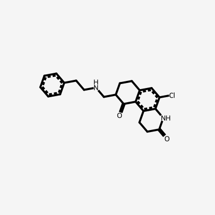 O=C1CCc2c(c(Cl)cc3c2C(=O)C(CNCCc2ccccc2)CC3)N1